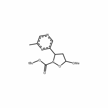 COC1CC(c2cncc(C)n2)N(C(=O)OC(C)(C)C)O1